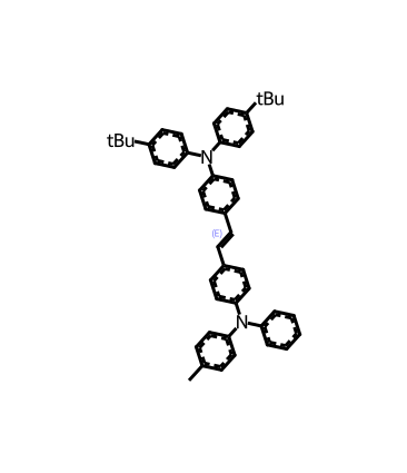 Cc1ccc(N(c2ccccc2)c2ccc(/C=C/c3ccc(N(c4ccc(C(C)(C)C)cc4)c4ccc(C(C)(C)C)cc4)cc3)cc2)cc1